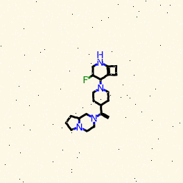 C=C(C1CCN(C2C3=C(CC3)NCC2F)CC1)N1CCN2CCCC2C1